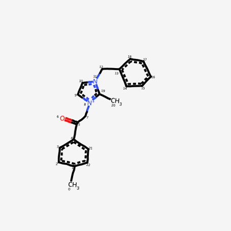 Cc1ccc(C(=O)C[n+]2ccn(Cc3ccccc3)c2C)cc1